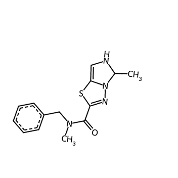 CC1NC=C2SC(C(=O)N(C)Cc3ccccc3)=NN21